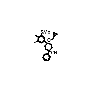 CSc1cc([C@]2(OCC3CC3)CC[C@@](C#N)(c3ccccc3)CC2)cc(F)c1C